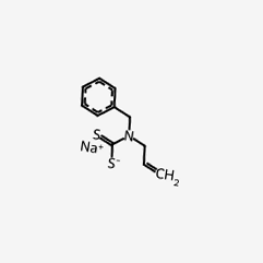 C=CCN(Cc1ccccc1)C(=S)[S-].[Na+]